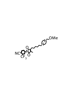 COCCN1CCN(CCCCCCC2=C(C)C(=O)N(c3ccc(C#N)c(C(F)(F)F)c3)C2=O)CC1